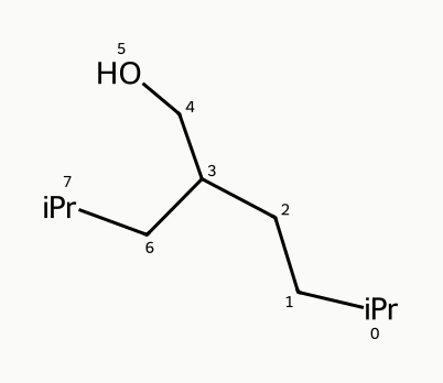 CC(C)CCC(CO)CC(C)C